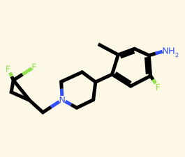 Cc1cc(N)c(F)cc1C1CCN(CC2CC2(F)F)CC1